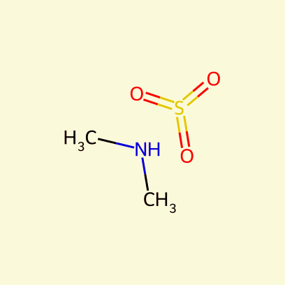 CNC.O=S(=O)=O